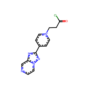 O=C(Cl)CC[n+]1ccc(-c2nc3cnccn3n2)cc1